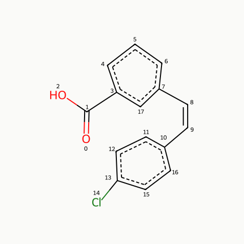 O=C(O)c1cccc(/C=C\c2ccc(Cl)cc2)c1